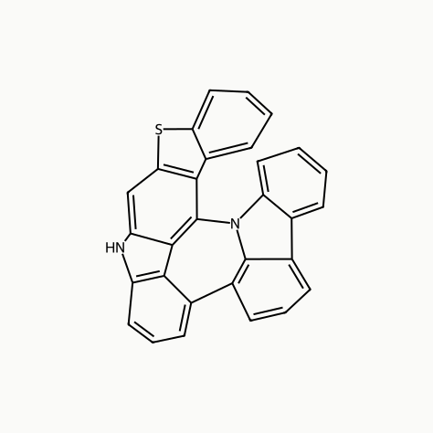 c1ccc2c(c1)sc1cc3[nH]c4cccc5c6cccc7c8ccccc8n(c67)c(c12)c3c45